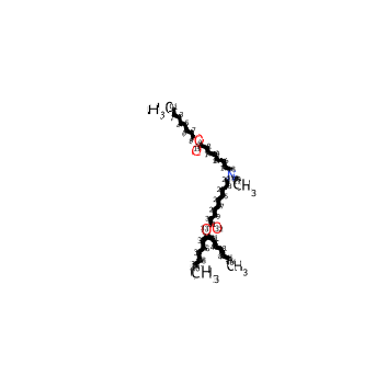 CCCCCCCCCOC(=O)CCCCCCCN(CC)CCCCCCCCCC(=O)OC(CCCCCC)CCCCCC